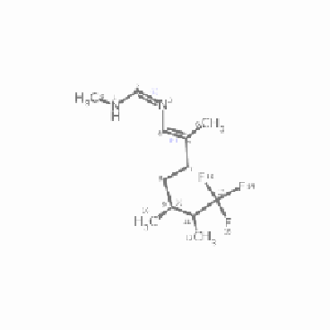 CN/C=N\C=C(/C)CC[C@H](C)C(C)C(F)(F)F